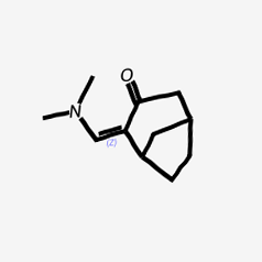 CN(C)/C=C1\C(=O)CC2CCC1C2